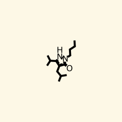 CCCCn1[nH]c(C(C)C)c(CC(C)C)c1=O